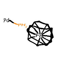 [CH]12[CH]3[CH]4[CH]5[CH]1[Fe]23451678[CH]2[CH]1[CH]6[CH]7[CH]28.[PH2][Pd]